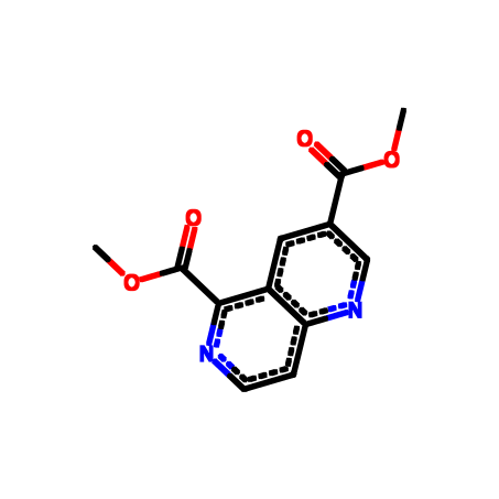 COC(=O)c1cnc2ccnc(C(=O)OC)c2c1